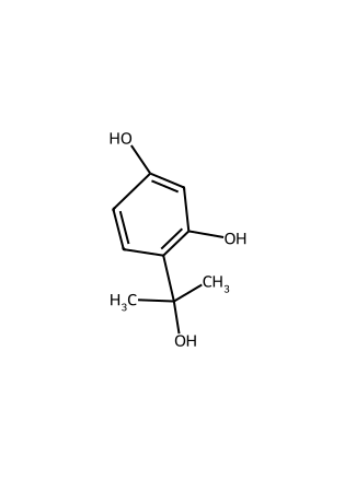 CC(C)(O)c1ccc(O)cc1O